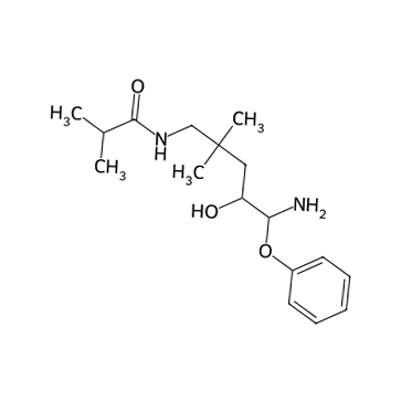 CC(C)C(=O)NCC(C)(C)CC(O)C(N)Oc1ccccc1